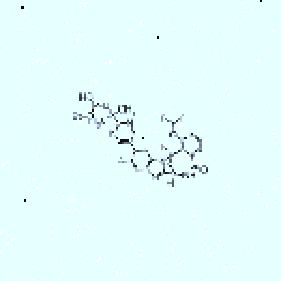 CCOP(O)OC(C)(C)c1ncc(-c2cc3c(cc2F)nc2n3[C@@H]3C[C@H]2NC(=O)c2cccc(OC(F)F)c23)cn1